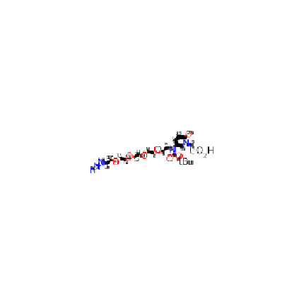 CC(C)(C)OC(=O)N(CCOCCOCCOCCOCCN=[N+]=[N-])c1ccc(=O)n(CC(=O)O)c1